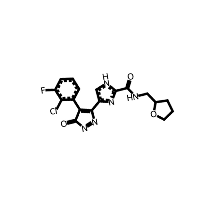 O=C1N=NC(c2c[nH]c(C(=O)NCC3CCCO3)n2)=C1c1cccc(F)c1Cl